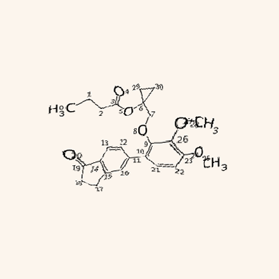 CCCC(=O)OC1(COc2c(-c3ccc4c(c3)CCC4=O)ccc(OC)c2OC)CC1